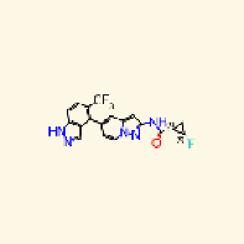 O=C(Nc1cc2cc(-c3c(C(F)(F)F)ccc4[nH]ncc34)ccn2n1)[C@@H]1C[C@@H]1F